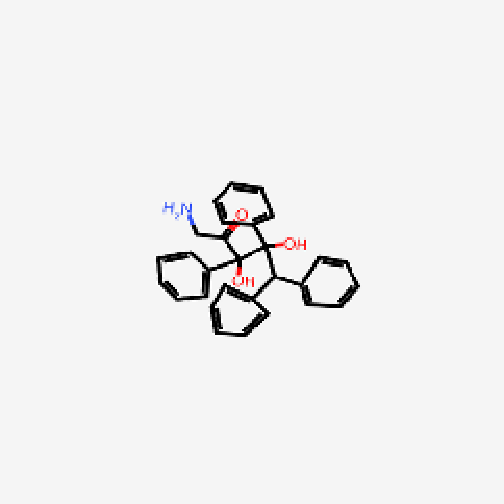 NCC(=O)C(O)(c1ccccc1)C(O)(c1ccccc1)C(c1ccccc1)c1ccccc1